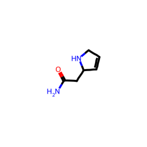 NC(=O)CC1C=CCN1